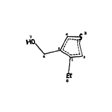 CCc1cscc1CO